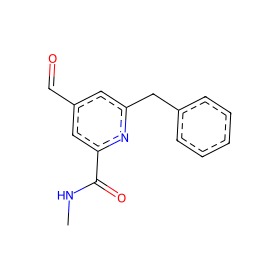 CNC(=O)c1cc(C=O)cc(Cc2ccccc2)n1